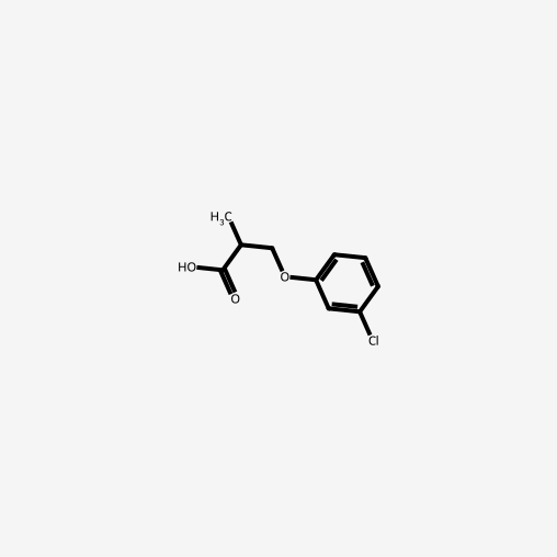 CC(COc1cccc(Cl)c1)C(=O)O